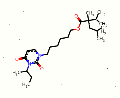 CCC(C)n1c(=O)ccn(CCCCCCOC(=O)C(C)(CC(C)C)C(C)C)c1=O